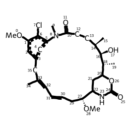 COc1cc2cc(c1Cl)N(C)C(=O)CC[C@@H](C)[C@@H](O)[C@H](C)C1CC(NC(=O)O1)[C@H](OC)C/C=C/C=C(\C)C2